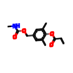 CCC(=O)Oc1c(C)cc(COC(=O)NC)cc1C